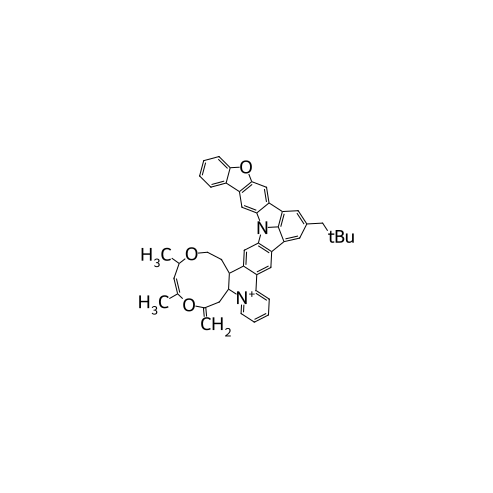 C=C1CC2C(CCOC(C)/C=C(/C)O1)c1cc3c(cc1-c1cccc[n+]12)c1cc(CC(C)(C)C)cc2c4cc5oc6ccccc6c5cc4n3c12